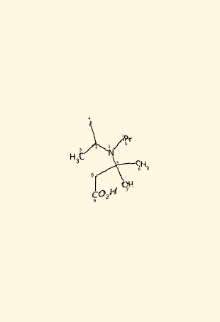 CC(C)N(C(C)I)C(C)(O)CC(=O)O